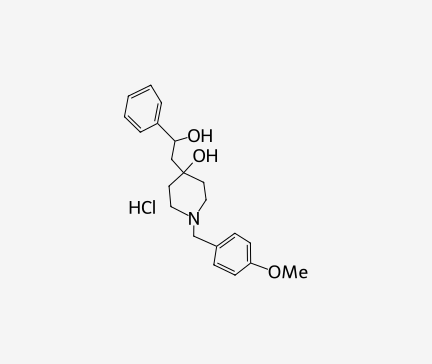 COc1ccc(CN2CCC(O)(CC(O)c3ccccc3)CC2)cc1.Cl